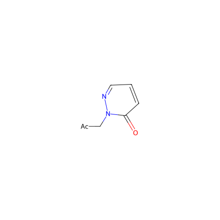 CC(=O)Cn1ncccc1=O